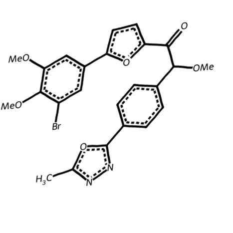 COc1cc(-c2ccc(C(=O)C(OC)c3ccc(-c4nnc(C)o4)cc3)o2)cc(Br)c1OC